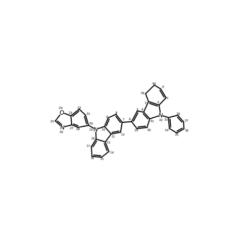 C1=Cc2c(c3cc(-c4ccc5c(c4)c4ccccc4n5-c4ccc5ocnc5c4)ccc3n2-c2ccccc2)CC1